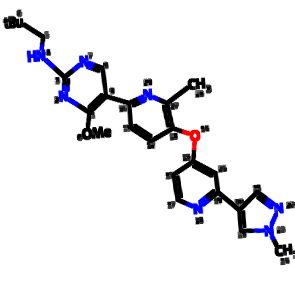 COc1nc(NCC(C)(C)C)ncc1-c1ccc(Oc2ccnc(-c3cnn(C)c3)c2)c(C)n1